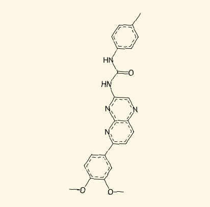 COc1ccc(-c2ccc3ncc(NC(=O)Nc4ccc(C)cc4)nc3n2)cc1OC